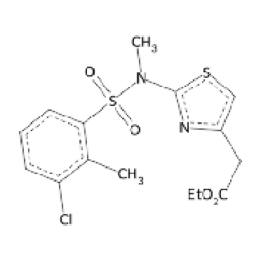 CCOC(=O)Cc1csc(N(C)S(=O)(=O)c2cccc(Cl)c2C)n1